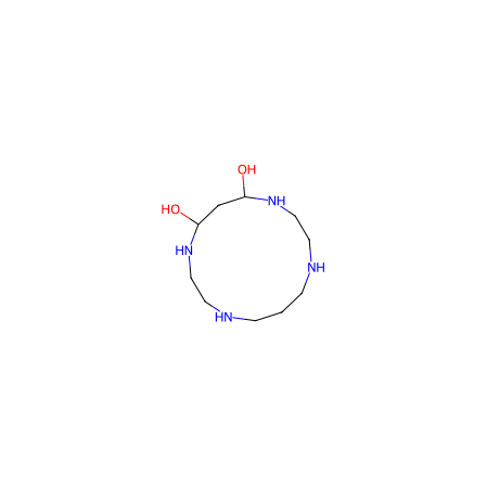 OC1CC(O)NCCNCCCNCCN1